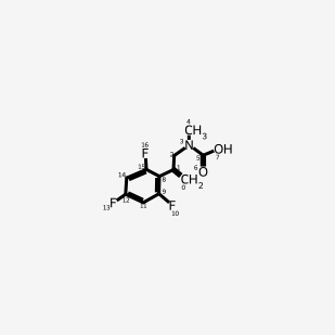 C=C(CN(C)C(=O)O)c1c(F)cc(F)cc1F